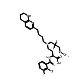 COCC(F)(F)CN(CCCCc1ccc2c(n1)NCCC2)CCC(NC(=O)c1cccc(F)c1Cl)C(=O)O